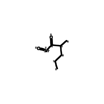 CCCC(C)[C](=O)[Sn]=[O]